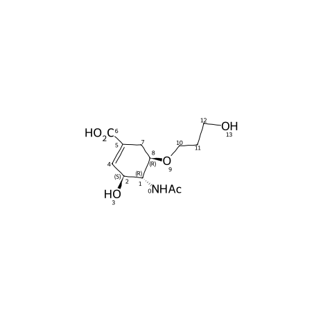 CC(=O)N[C@@H]1[C@@H](O)C=C(C(=O)O)C[C@H]1OCCCO